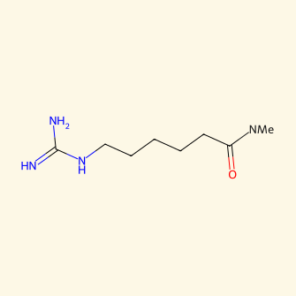 CNC(=O)CCCCCNC(=N)N